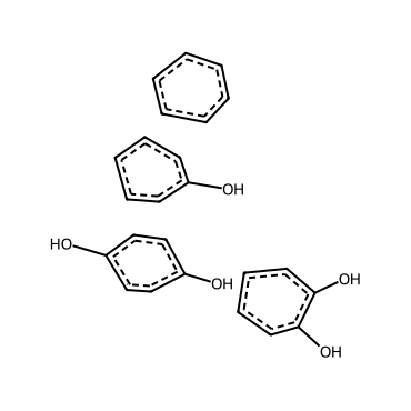 Oc1ccc(O)cc1.Oc1ccccc1.Oc1ccccc1O.c1ccccc1